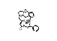 O=c1cc(CN2CCCC2Cc2c(F)cccc2Cl)[nH]c2nc(-c3ccccc3)nn12